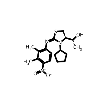 Cc1c(N=C2SC[C@@H]([C@@H](C)O)N2C2CCCC2)ccc([N+](=O)[O-])c1C